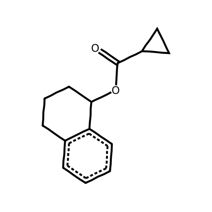 O=C(OC1CCCc2ccccc21)C1CC1